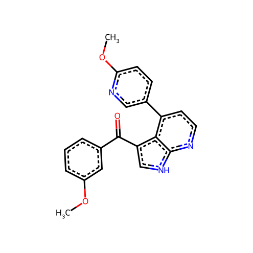 COc1cccc(C(=O)c2c[nH]c3nccc(-c4ccc(OC)nc4)c23)c1